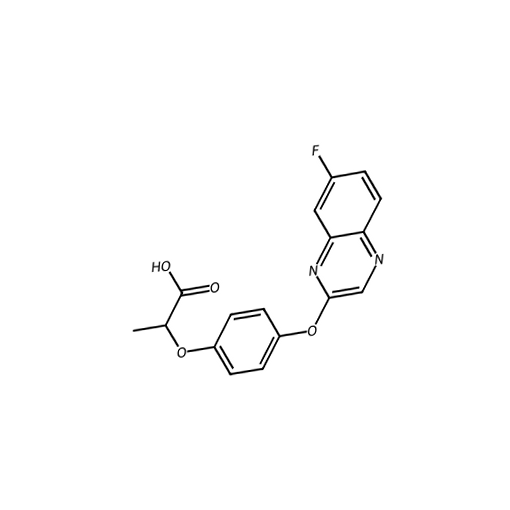 CC(Oc1ccc(Oc2cnc3ccc(F)cc3n2)cc1)C(=O)O